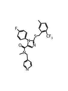 Cc1ccc(C(F)(F)F)c(CSc2ncc(C(=O)N(C)Cc3ccncc3)n2-c2ccc(F)cc2)c1